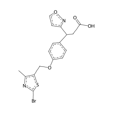 Cc1nc(Br)sc1COc1ccc(C(CC(=O)O)c2ccon2)cc1